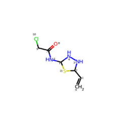 C=CC1NNC(NC(=O)CCl)S1